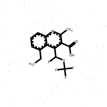 CCc1cccc2nc(C)c(C(=O)O)c(C(F)OC(F)(F)F)c12